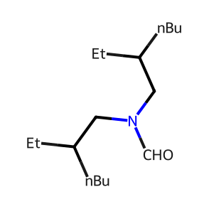 CCCCC(CC)CN(C=O)CC(CC)CCCC